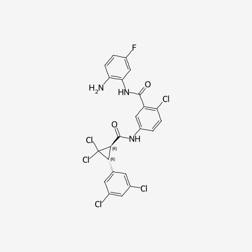 Nc1ccc(F)cc1NC(=O)c1cc(NC(=O)[C@H]2[C@H](c3cc(Cl)cc(Cl)c3)C2(Cl)Cl)ccc1Cl